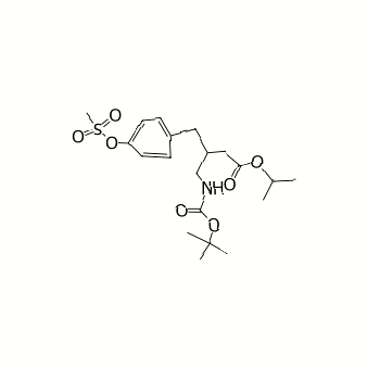 CC(C)OC(=O)CC(CNC(=O)OC(C)(C)C)Cc1ccc(OS(C)(=O)=O)cc1